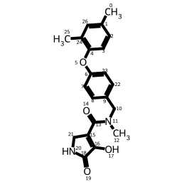 Cc1ccc(Oc2ccc(CN(C)C(=O)C3=C(O)C(=O)NC3)cc2)c(C)c1